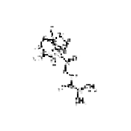 C=C(C)C(=O)OCC(=O)OC1C2CC3C(C)(C2)C1OS3(=O)=O